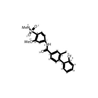 CNS(=O)(=O)c1ccc(NC(=O)c2ccc(-c3ccccc3C(F)(F)F)c(C)c2)cc1OC